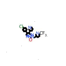 O=c1n(Cc2ccc(C(F)(F)F)nc2)nc2c(-c3cccnc3)c(-c3ccc(Cl)cc3)cnn12